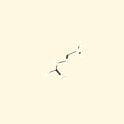 N=C(N)NN=CS(=O)O